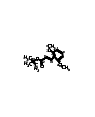 COc1cccc(OC)c1C=CC(=O)OC(C)(C)C